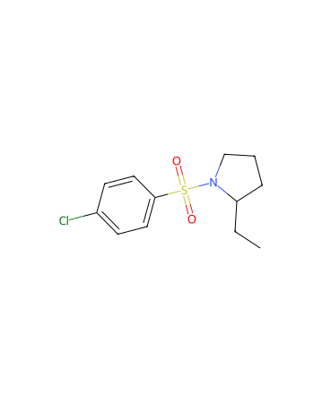 CCC1CCCN1S(=O)(=O)c1ccc(Cl)cc1